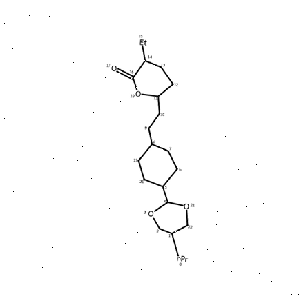 CCCC1COC(C2CCC(CCC3CCC(CC)C(=O)O3)CC2)OC1